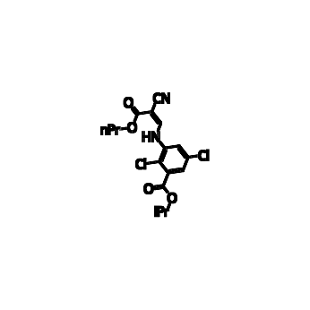 CCCOC(=O)C(C#N)=CNc1cc(Cl)cc(C(=O)OC(C)C)c1Cl